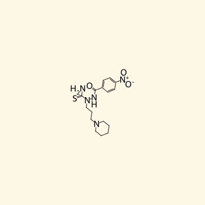 NC(=S)N(CCCN1CCCCC1)NC(=O)c1ccc([N+](=O)[O-])cc1